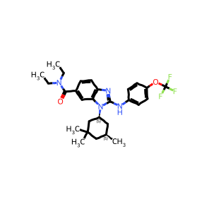 CCN(CC)C(=O)c1ccc2nc(Nc3ccc(OC(F)(F)F)cc3)n([C@H]3C[C@@H](C)CC(C)(C)C3)c2c1